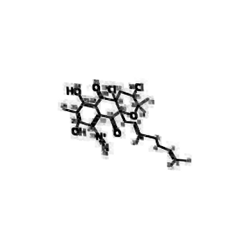 CC(C)=CCC/C(C)=C/CC12OC(C)(C)C(Cl)CC1(Cl)C(=O)c1c(O)c(C)c(O)c([N+]#N)c1C2=O